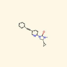 CN1C(=O)N(c2ccc(C#Cc3ccccc3)cn2)C[C@@H]1C1CC1